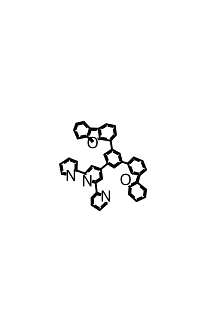 c1ccc(-c2cc(-c3cc(-c4cccc5c4oc4ccccc45)cc(-c4cccc5c4oc4ccccc45)c3)cc(-c3ccccn3)n2)nc1